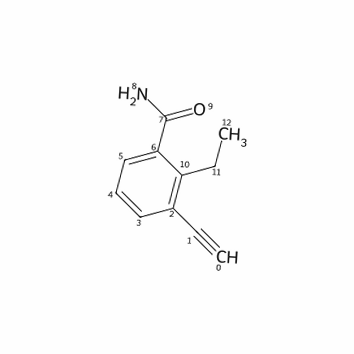 C#Cc1cccc(C(N)=O)c1CC